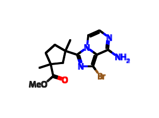 COC(=O)C1(C)CCC(C)(c2nc(Br)c3c(N)nccn23)C1